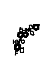 O=C(N[C@H]1CCc2c(C(=O)Nc3ccc(F)c(Cl)c3)ccc(F)c21)OC1CCCC1